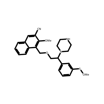 COSc1cccc(C(COCc2c(OC)c(C#N)cc3ccccc23)N2CCNCC2)c1